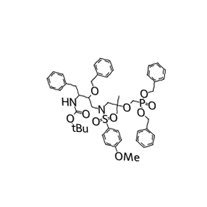 COc1ccc(S(=O)(=O)N(CC(OCc2ccccc2)C(Cc2ccccc2)NC(=O)OC(C)(C)C)CC(C)(C)OCP(=O)(OCc2ccccc2)OCc2ccccc2)cc1